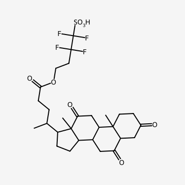 CC(CCC(=O)OCCC(F)(F)C(F)(F)S(=O)(=O)O)C1CCC2C3CC(=O)C4CC(=O)CCC4(C)C3CC(=O)C12C